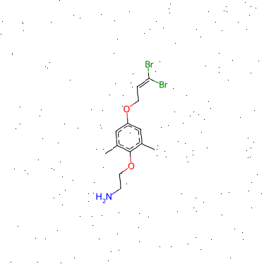 Cc1cc(OCC=C(Br)Br)cc(C)c1OCCN